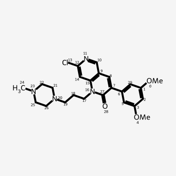 COc1cc(OC)cc(-c2cc3cnc(Cl)cc3n(CCCN3CCN(C)CC3)c2=O)c1